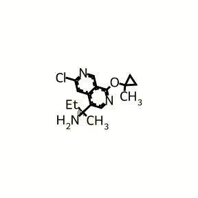 CC[C@@](C)(N)c1cnc(OC2(C)CC2)c2cnc(Cl)cc12